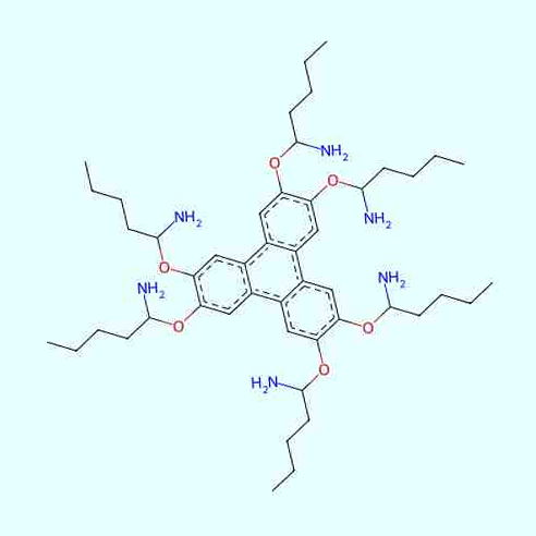 CCCCC(N)Oc1cc2c3cc(OC(N)CCCC)c(OC(N)CCCC)cc3c3cc(OC(N)CCCC)c(OC(N)CCCC)cc3c2cc1OC(N)CCCC